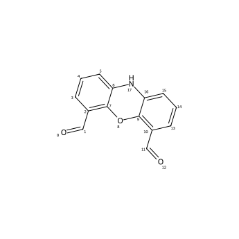 O=Cc1cccc2c1Oc1c(C=O)cccc1N2